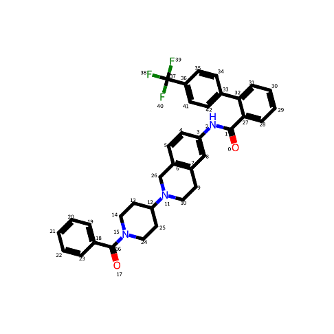 O=C(Nc1ccc2c(c1)CCN(C1CCN(C(=O)c3ccccc3)CC1)C2)c1ccccc1-c1ccc(C(F)(F)F)cc1